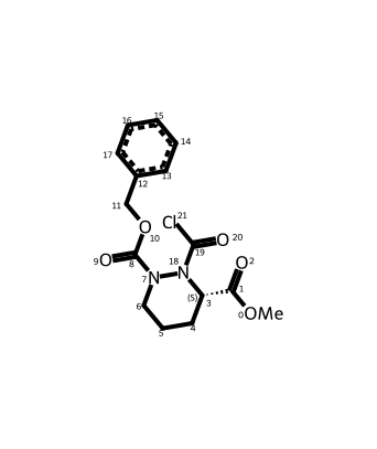 COC(=O)[C@@H]1CCCN(C(=O)OCc2ccccc2)N1C(=O)Cl